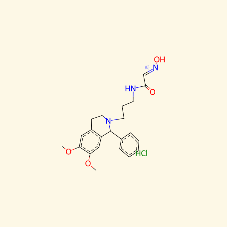 COc1cc2c(cc1OC)C(c1ccccc1)N(CCCNC(=O)/C=N/O)CC2.Cl